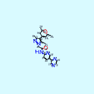 Cc1nn(CC(=O)Nc2ccc(-c3cnccn3)cn2)c(C)c1C1=CC(C)OC(C)C1